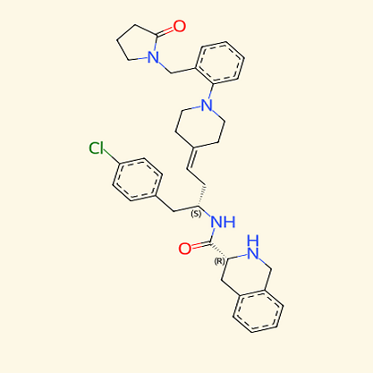 O=C(N[C@@H](CC=C1CCN(c2ccccc2CN2CCCC2=O)CC1)Cc1ccc(Cl)cc1)[C@H]1Cc2ccccc2CN1